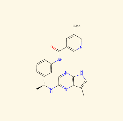 COc1cncc(C(=O)Nc2cccc([C@H](C)Nc3cnc4[nH]cc(C)c4n3)c2)c1